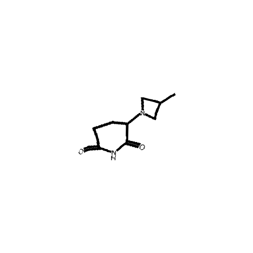 CC1CN(C2CCC(=O)NC2=O)C1